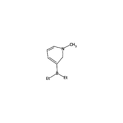 CCB(CC)C1=CC=CN(C)C1